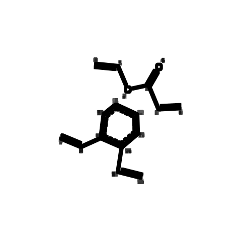 C=COC(=O)C=C.C=Cc1ccccc1C=C